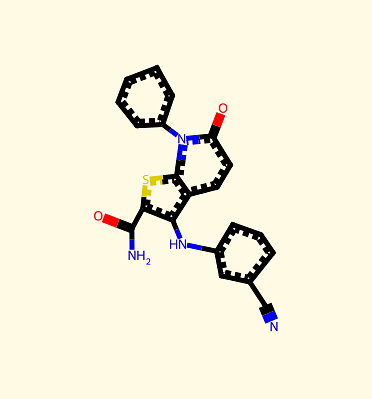 N#Cc1cccc(Nc2c(C(N)=O)sc3c2ccc(=O)n3-c2ccccc2)c1